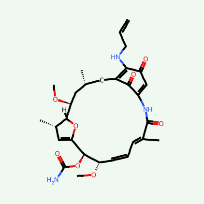 C=CCNC1=C2C[C@@H](C)C[C@H](OC)[C@@H]3OC(=C[C@@H]3C)[C@H](OC(N)=O)[C@@H](OC)/C=C\C=C(/C)C(=O)NC(=CC1=O)C2=O